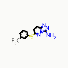 Nc1nnc2ccc(Sc3cccc(C(F)(F)F)c3)nn12